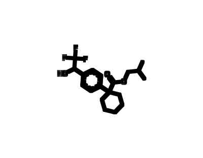 CC(C)COC(=O)C1(c2ccc(C(O)C(F)(F)F)cc2)CCCCC1